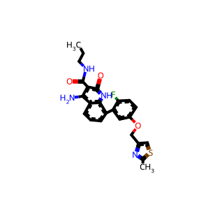 CCCNC(=O)c1c(N)c2cccc(-c3cc(OCc4csc(C)n4)ccc3F)c2[nH]c1=O